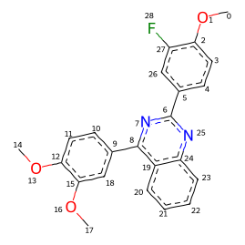 COc1ccc(-c2nc(-c3ccc(OC)c(OC)c3)c3ccccc3n2)cc1F